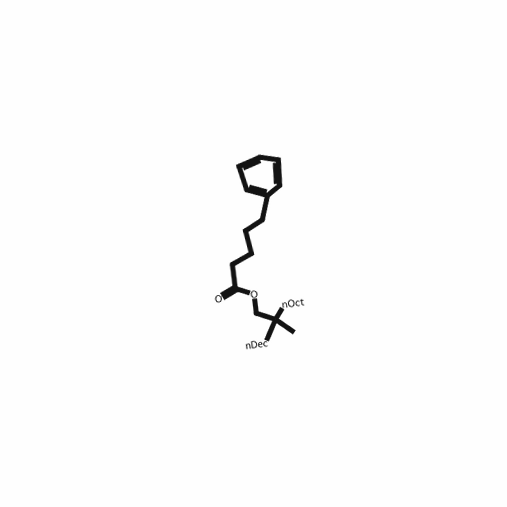 CCCCCCCCCCC(C)(CCCCCCCC)COC(=O)CCCCc1ccccc1